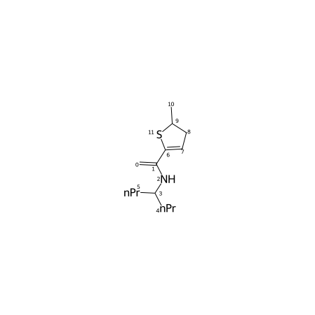 C=C(NC(CCC)CCC)C1=CCC(C)S1